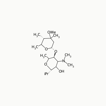 COC1(C)C[C@H](O[C@@H]2C(C)O[C@@H](C(C)C)C(O)C2N(C)C)OC(C)[C@@H]1C